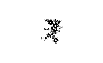 Nc1nc(C(=NOC2CCCC2)C(=O)N[C@@H]2C(=O)N3C(C(=O)O)=C(C(=C4CCNC4=O)c4ccc(O)cc4)CC[C@H]23)cs1.[NaH]